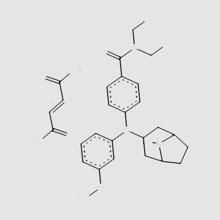 CCN(CC)C(=O)c1ccc(N(c2cccc(OC)c2)C2CC3CCC(C2)N3C)cc1.O=C(O)/C=C/C(=O)O